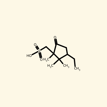 CCC1CC(=O)C(C)(CS(=O)(=O)O)C1(C)C